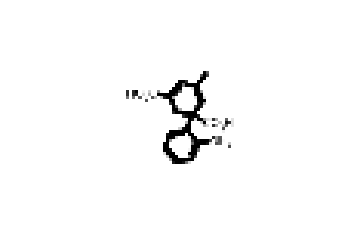 CC1=CC(C(=O)O)(c2ccccc2N)CC(C(=O)O)=C1